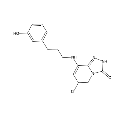 O=c1[nH]nc2c(NCCCc3cccc(O)c3)cc(Cl)cn12